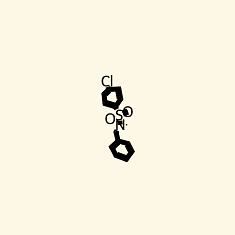 O=S(=O)([N]Cc1ccccc1)c1ccc(Cl)cc1